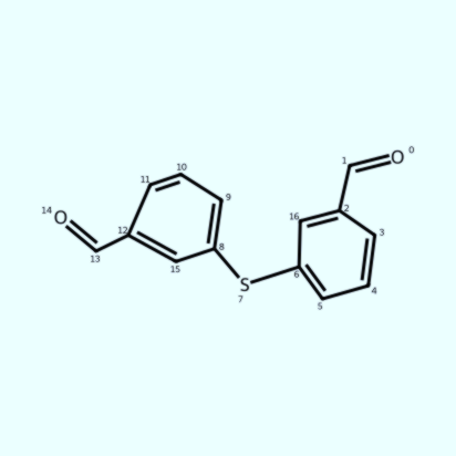 O=Cc1cccc(Sc2cccc(C=O)c2)c1